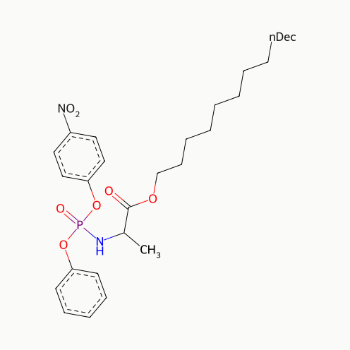 CCCCCCCCCCCCCCCCCCOC(=O)C(C)NP(=O)(Oc1ccccc1)Oc1ccc([N+](=O)[O-])cc1